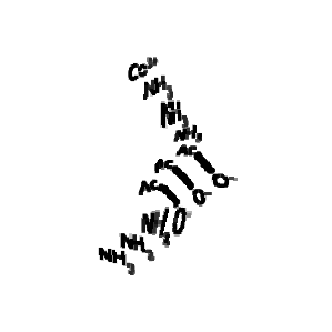 CC(=O)[O-].CC(=O)[O-].CC(=O)[O-].N.N.N.N.N.N.[Co+3]